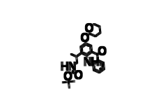 CC(CNC(=O)OC(C)(C)C)c1cc(OC2CCCCO2)cc(C(=O)c2ccccc2)c1N